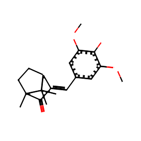 COc1cc(C=C2C(=O)C3(C)CCC2C3(C)C)cc(OC)c1O